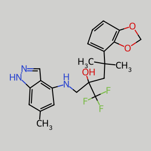 Cc1cc(NCC(O)(CC(C)(C)c2cccc3c2OCO3)C(F)(F)F)c2cn[nH]c2c1